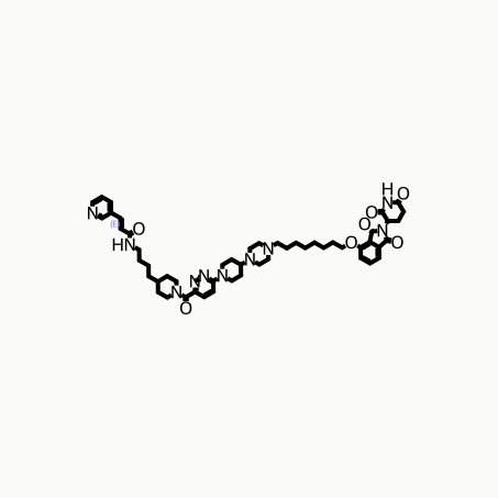 O=C(/C=C/c1cccnc1)NCCCCC1CCN(C(=O)c2ccc(N3CCC(N4CCN(CCCCCCCCOc5cccc6c5C(=O)N(C5CCC(=O)NC5=O)C6=O)CC4)CC3)nn2)CC1